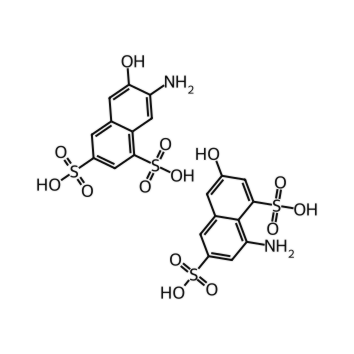 Nc1cc(S(=O)(=O)O)cc2cc(O)cc(S(=O)(=O)O)c12.Nc1cc2c(S(=O)(=O)O)cc(S(=O)(=O)O)cc2cc1O